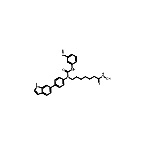 COc1cccc(NC(=O)N(CCCCCCC(=O)NO)c2ccc(-c3ccc4cc[nH]c4c3)cc2)c1